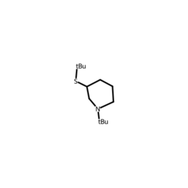 CC(C)(C)SC1CCCN(C(C)(C)C)C1